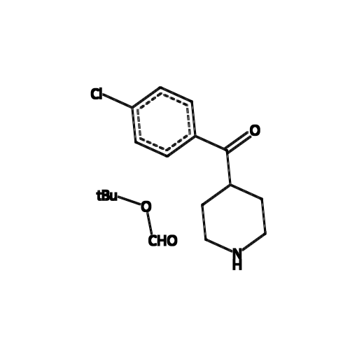 CC(C)(C)OC=O.O=C(c1ccc(Cl)cc1)C1CCNCC1